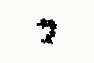 CC(C)(C)OC(=O)NC1CN(c2ccc3ncnc(Nc4cccc(Br)c4F)c3n2)C1